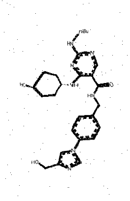 CCCCNc1ncc(C(=O)NCc2ccc(-n3cnc(CO)c3)cc2)c(N[C@H]2CC[C@H](O)CC2)n1